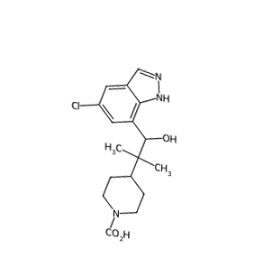 CC(C)(C1CCN(C(=O)O)CC1)C(O)c1cc(Cl)cc2cn[nH]c12